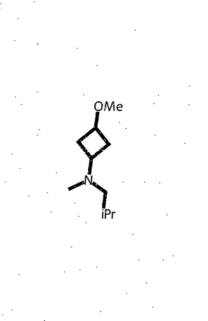 COC1CC(N(C)CC(C)C)C1